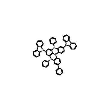 c1ccc(-c2ccc3c(c2)N(c2ccccc2)c2cc(-n4c5ccccc5c5ccccc54)cc4c2B3c2ccc(-n3c5ccccc5c5ccccc53)cc2N4c2ccccc2)cc1